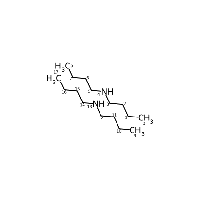 CCCCNCCCC.CCCCNCCCC